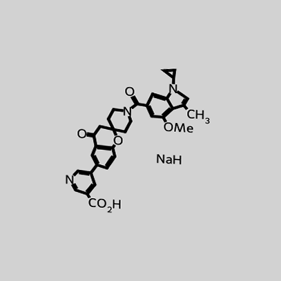 COc1cc(C(=O)N2CCC3(CC2)CC(=O)c2cc(-c4cncc(C(=O)O)c4)ccc2O3)cc2c1c(C)cn2C1CC1.[NaH]